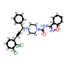 O=C(Nc1noc2ccccc12)N1CCN(C(C#Cc2cccc(Cl)c2Cl)c2ccccc2)CC1